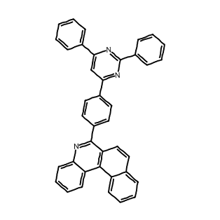 c1ccc(-c2cc(-c3ccc(-c4nc5ccccc5c5c4ccc4ccccc45)cc3)nc(-c3ccccc3)n2)cc1